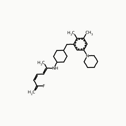 C=C(F)/C=C\C=C(/C)NC1CCC(Cc2cc(N3CCCCC3)cc(C)c2C)CC1